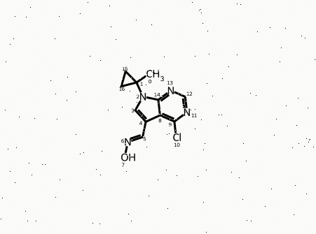 CC1(n2cc(/C=N/O)c3c(Cl)ncnc32)CC1